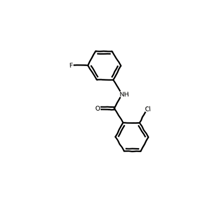 O=C(Nc1cccc(F)c1)c1ccccc1Cl